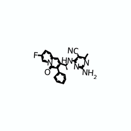 Cc1nc(N)nc(N[C@@H](C)c2cc3ccc(F)cn3c(=O)c2-c2ccccc2)c1C#N